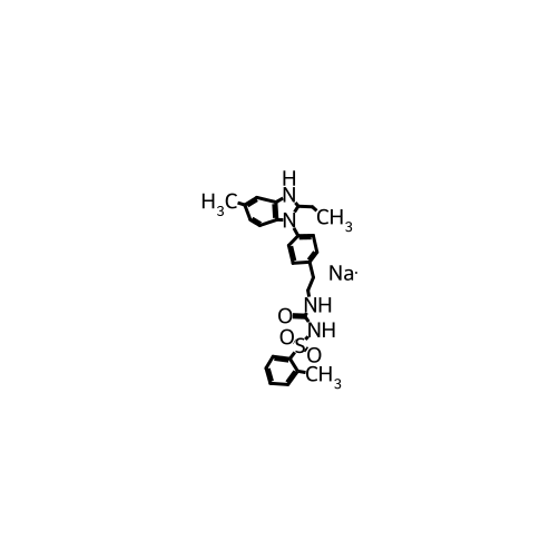 CCC1Nc2cc(C)ccc2N1c1ccc(CCNC(=O)NS(=O)(=O)c2ccccc2C)cc1.[Na]